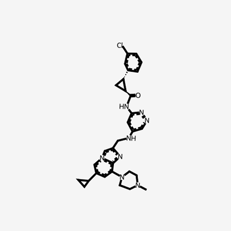 CN1CCN(c2cc(C3CC3)cn3cc(CNc4cnnc(NC(=O)[C@H]5C[C@@H]5c5cccc(Cl)c5)c4)nc23)CC1